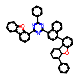 C1=CC2c3c(cccc3-c3ccc(-c4nc(-c5ccccc5)nc(-c5cccc6c5oc5ccccc56)n4)c4ccccc34)OC2C(c2ccccc2)=C1